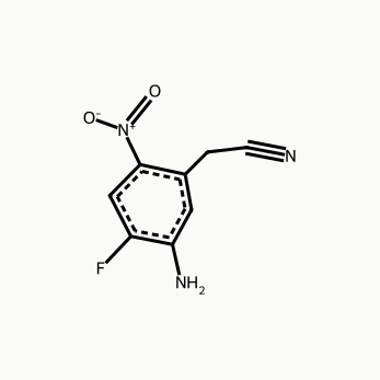 N#CCc1cc(N)c(F)cc1[N+](=O)[O-]